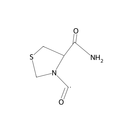 NC(=O)C1CSCN1[C]=O